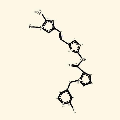 CC(C)n1cc(/C=C/c2csc(NC(=O)c3cccn3Cc3ccnc(F)c3)n2)nc1C(=O)O